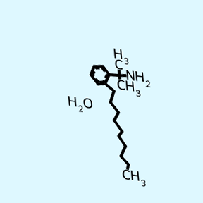 CCCCCCCCCCc1ccccc1C(C)(C)N.O